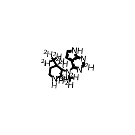 [2H]c1nc(N(C([2H])([2H])[2H])[C@@]2([2H])C([2H])([2H])NCC[C@@]2([2H])C([2H])([2H])[2H])c2cc[nH]c2n1